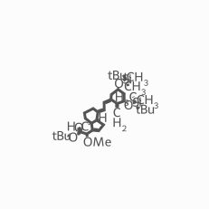 C=C1/C(=C\C=C2/CCC[C@]3(C)C(C(OC)C(=O)OC(C)(C)C)=CC[C@@H]23)C[C@@H](O[Si](C)(C)C(C)(C)C)C[C@@H]1O[Si](C)(C)C(C)(C)C